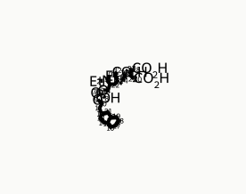 CCN(CC)C(COP(=O)(O)OCCc1ccc2ccccc2c1)CN(CCN(CC(=O)O)CC(=O)O)CC(=O)O